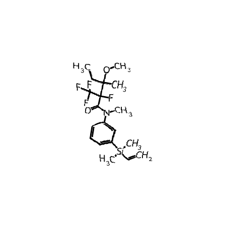 C=C[Si](C)(C)c1cccc(N(C)C(=O)C(F)(C(F)(F)F)C(C)(CC)OC)c1